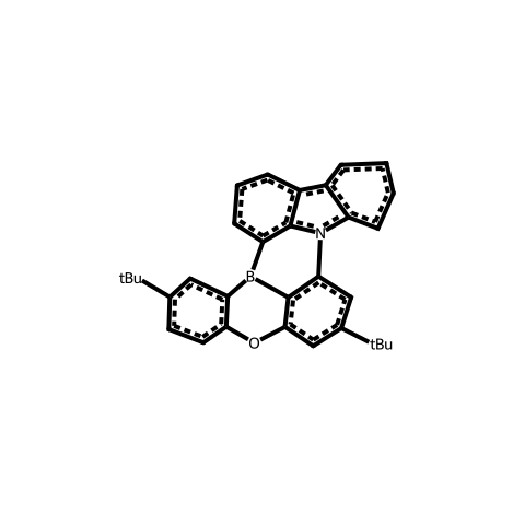 CC(C)(C)c1ccc2c(c1)B1c3c(cc(C(C)(C)C)cc3-n3c4ccccc4c4cccc1c43)O2